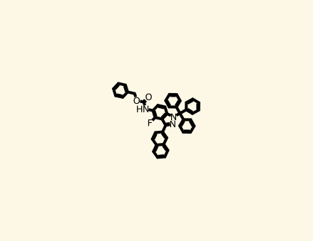 O=C(Nc1ccc2c(c(-c3ccc4ccccc4c3)nn2C(c2ccccc2)(c2ccccc2)c2ccccc2)c1F)OCc1ccccc1